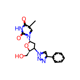 Cc1cn([C@H]2CC(n3cc(-c4ccccc4)nn3)[C@@H](CO)O2)c(=O)[nH]c1=O